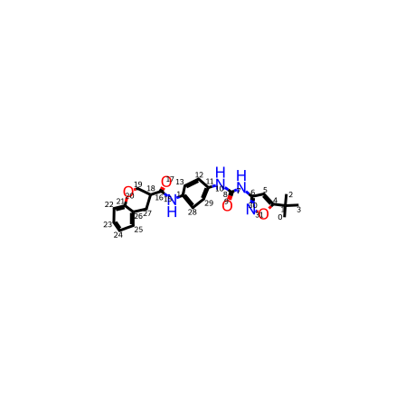 CC(C)(C)c1cc(NC(=O)Nc2ccc(NC(=O)C3COc4ccccc4C3)cc2)no1